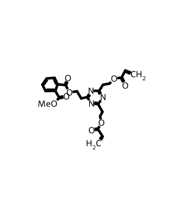 C=CC(=O)OCCc1nc(CCOC(=O)C=C)nc(CCOC(=O)c2ccccc2C(=O)OC)n1